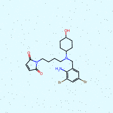 Nc1c(Br)cc(Br)cc1CN(CCCCN1C(=O)C=CC1=O)C1CCC(O)CC1